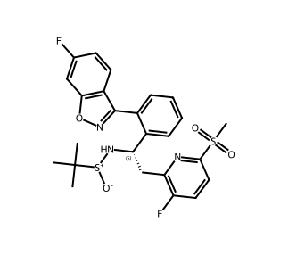 CC(C)(C)[S+]([O-])N[C@@H](Cc1nc(S(C)(=O)=O)ccc1F)c1ccccc1-c1noc2cc(F)ccc12